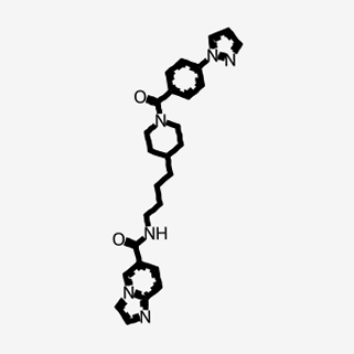 O=C(NCCCCC1CCN(C(=O)c2ccc(-n3cccn3)cc2)CC1)c1ccc2nccn2c1